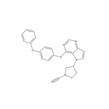 N#CN1CCC(n2ccc3ncnc(Oc4ccc(Oc5ccccc5)cc4)c32)C1